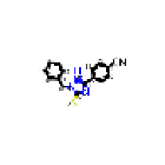 N#Cc1ccc(-c2nc(=S)n(Cc3ccccc3)[nH]2)cc1